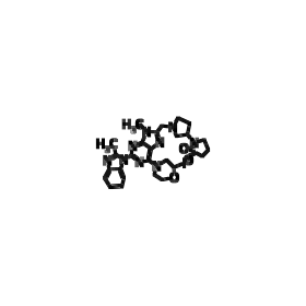 Cc1nc2ccccc2n1-c1nc(N2CCOC(I)C2)c2nc(CN3CCC(N4CCCS4(=O)=O)C3)n(C)c2n1